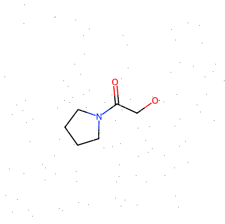 [O]CC(=O)N1CCCC1